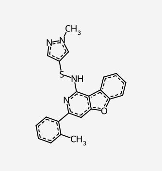 Cc1ccccc1-c1cc2oc3ccccc3c2c(NSc2cnn(C)c2)n1